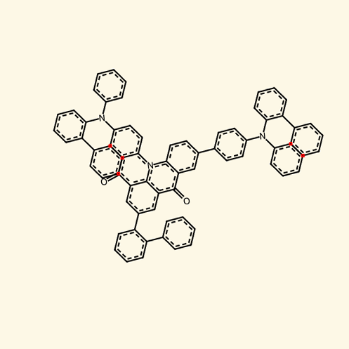 O=c1c2cc(-c3ccc(N(c4ccccc4)c4ccccc4-c4ccccc4)cc3)ccc2n2c3ccc(N(c4ccccc4)c4ccccc4-c4ccccc4)cc3c(=O)c3cc(-c4ccccc4-c4ccccc4)cc1c32